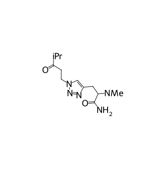 CNC(Cc1cn(CCC(=O)C(C)C)nn1)C(N)=O